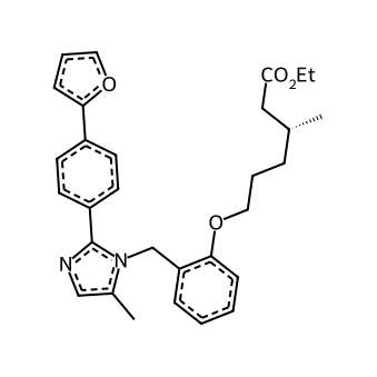 CCOC(=O)C[C@H](C)CCCOc1ccccc1Cn1c(C)cnc1-c1ccc(-c2ccco2)cc1